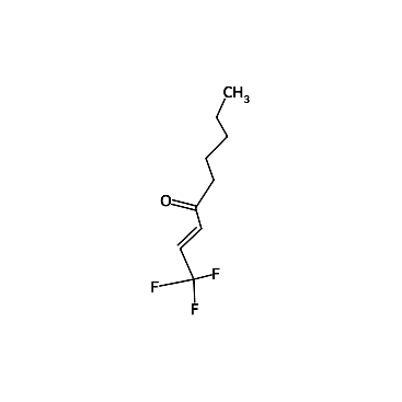 CCCCCC(=O)/C=C/C(F)(F)F